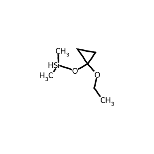 CCOC1(O[SiH](C)C)CC1